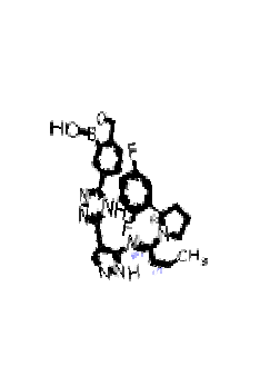 C/C=C\C(=N/c1[nH]ncc1-c1nnc(-c2ccc3c(c2)B(O)OC3)[nH]1)N1CCC[C@@H]1c1cc(F)ccc1F